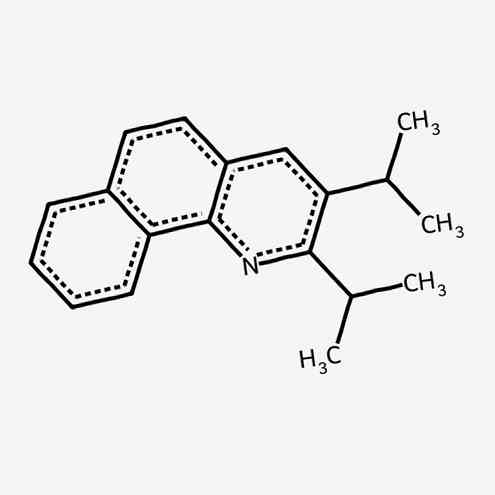 CC(C)c1cc2ccc3ccccc3c2nc1C(C)C